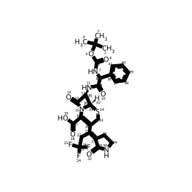 CC(C)(C)OC(=O)NC(C(=O)N[C@@H]1C(=O)N2C(C(=O)O)=C(C(CC(F)(F)F)=C3CCNC3=O)CS[C@H]12)c1ccccc1